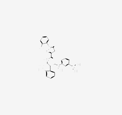 C[C@H](NC(=O)C1=NN(c2ccccc2C(F)(F)F)C(=O)C1)[C@@H](CN(C)c1cccc(N(C)C)c1)c1ccccc1O